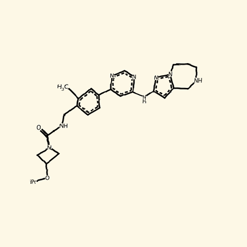 Cc1cc(-c2cc(Nc3cc4n(n3)CCCNC4)ncn2)ccc1CNC(=O)N1CC(OC(C)C)C1